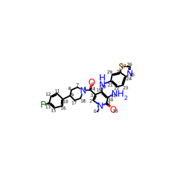 Cn1cc(C(=O)N2CCC(c3ccc(F)cc3)CC2)c(Nc2ccc3ncsc3c2)c(N)c1=O